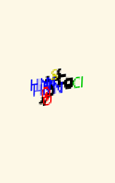 CC(=N)N1C(=N)C(CC(=O)OC(C)(C)C)N=C(c2ccc(Cl)cc2)c2c1sc(C)c2C